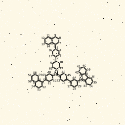 C1=C(c2ccc(-c3cccc4ccccc34)cc2)CCC(N(c2ccc(-c3cccc(-n4c5ccccc5c5ccccc54)c3)cc2)c2ccc(-c3cccc4ccccc34)cc2)=C1